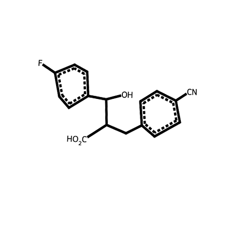 N#Cc1ccc(CC(C(=O)O)C(O)c2ccc(F)cc2)cc1